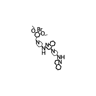 CCOc1cc(CN2CCC(Nc3cc(N4CCC(Nc5ccc6ccccc6n5)CC4)c4ccccc4n3)CC2)cc(OCC)c1Br